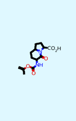 C=C(C)OC(=O)NC1CCC2CCC(C(=O)O)N2C1=O